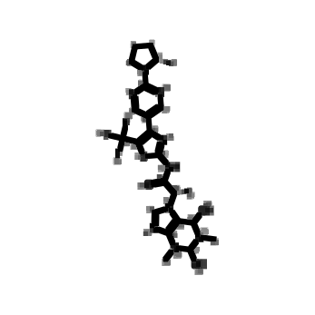 C[C@H]1CCCN1c1ncc(-c2nc(NC(=O)[C@H](C)n3cnc4c3C(O)N(C)C(O)N4C)sc2C(F)(F)F)cn1